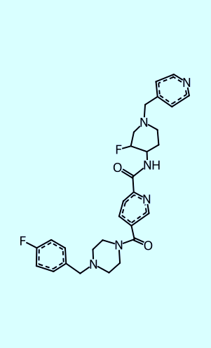 O=C(NC1CCN(Cc2ccncc2)CC1F)c1ccc(C(=O)N2CCN(Cc3ccc(F)cc3)CC2)cn1